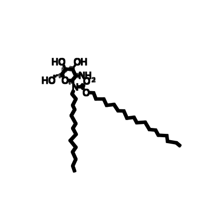 CCCCCCCCCCCCCCCCCCOC(=O)N(CCCCCCCCCCCCCC)[C@@H]1O[C@H](CO)[C@@H](O)[C@H](O)[C@H]1N